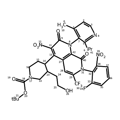 Cc1ccnc(C(C)C)c1-n1c(=O)c([N+](=O)[O-])c(C2CCN(C(=O)OC(C)(C)C)CC2CCO)c2cc(C(F)(F)F)n(-c3c(F)cccc3[N+](=O)[O-])c(=O)c21